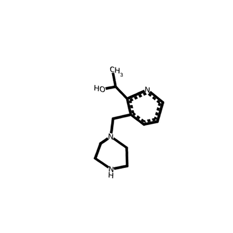 CC(O)c1ncccc1CN1CCNCC1